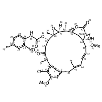 COc1cc2cc(c1Cl)N(C)C(=O)C[C@H](OC(=O)Nc1ccc(F)cc1[N+](=O)[O-])[C@]1(C)O[C@H]1[C@H](C)[C@@H]1C[C@@](O)(NC(=O)O1)[C@H](OC)/C=C/C=C(\C)C2